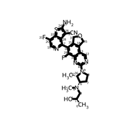 C[C@@H](O)CN(C)[C@H]1CCN(c2ncc3c4c(c(-c5ncc(F)c6sc(N)c(C#N)c56)c(F)c3n2)COC4)[C@H]1C